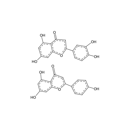 O=c1cc(-c2ccc(O)c(O)c2)oc2cc(O)cc(O)c12.O=c1cc(-c2ccc(O)cc2)oc2cc(O)cc(O)c12